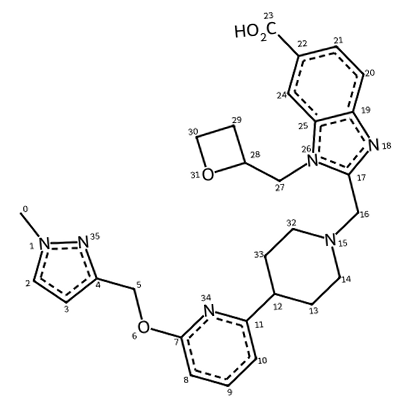 Cn1ccc(COc2cccc(C3CCN(Cc4nc5ccc(C(=O)O)cc5n4CC4CCO4)CC3)n2)n1